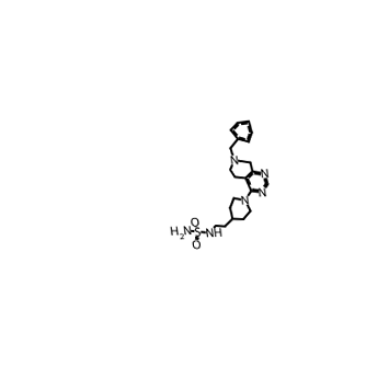 NS(=O)(=O)NCCC1CCN(c2ncnc3c2CCN(Cc2ccccc2)C3)CC1